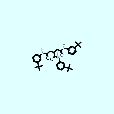 CC(C)(C)c1cccc(NC(=O)CC(CC(=O)Nc2cccc(C(C)(C)C)c2)C(=O)Nc2cccc(C(C)(C)C)c2)c1